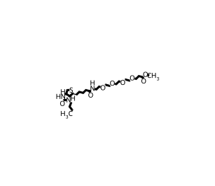 CCCCN1C(=O)N[C@H]2CS[C@@H](CCCCC(=O)NCCOCCOCCOCCOCCC(=O)OC)[C@H]21